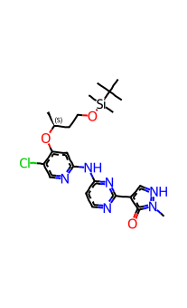 C[C@@H](CCO[Si](C)(C)C(C)(C)C)Oc1cc(Nc2ccnc(-c3c[nH]n(C)c3=O)n2)ncc1Cl